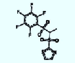 CC(S(=O)(=O)c1nccs1)S(=O)(=O)c1c(F)c(F)c(F)c(F)c1F